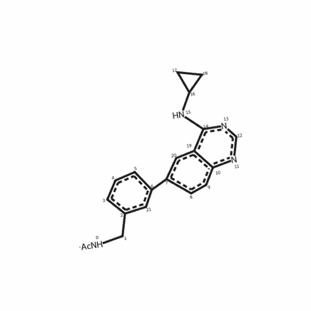 CC(=O)[N]Cc1cccc(-c2ccc3ncnc(NC4CC4)c3c2)c1